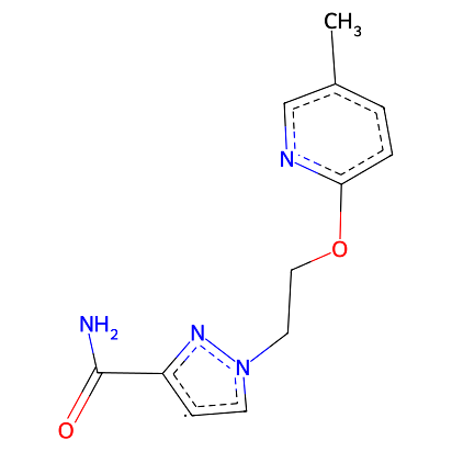 Cc1ccc(OCCn2c[c]c(C(N)=O)n2)nc1